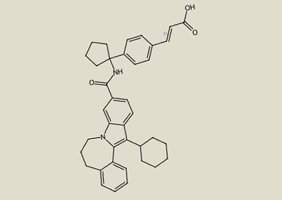 O=C(O)/C=C/c1ccc(C2(NC(=O)c3ccc4c(C5CCCCC5)c5n(c4c3)CCCc3ccccc3-5)CCCC2)cc1